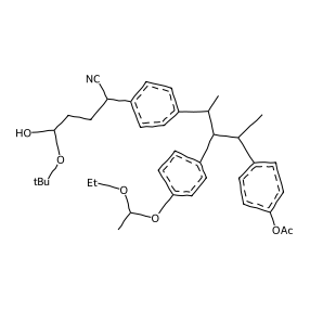 CCOC(C)Oc1ccc(C(C(C)c2ccc(OC(C)=O)cc2)C(C)c2ccc(C(C#N)CCC(O)OC(C)(C)C)cc2)cc1